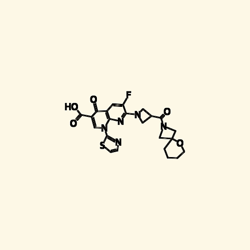 O=C(O)c1cn(-c2nccs2)c2nc(N3CC(C(=O)N4CC5(CCCCO5)C4)C3)c(F)cc2c1=O